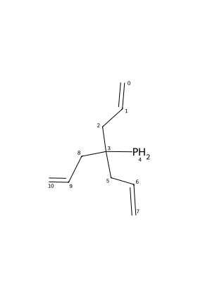 C=CCC(P)(CC=C)CC=C